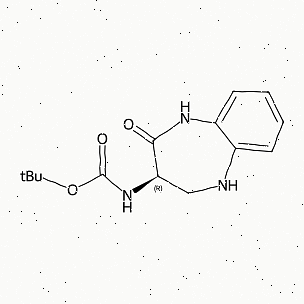 CC(C)(C)OC(=O)N[C@@H]1CNc2ccccc2NC1=O